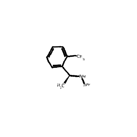 CCCN[C@@H](C)c1ccccc1C(F)(F)F